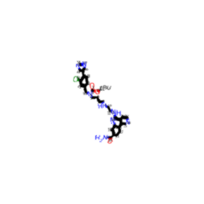 CC(C)(C)OC(=O)N(CCCCNCCNc1nc2cc(C(N)=O)ccc2c2cnccc12)Cc1ccc(-c2cncnc2)c(Cl)c1